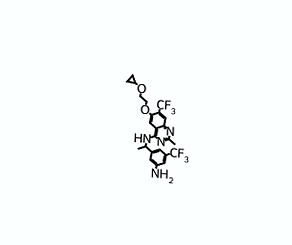 Cc1nc(NC(C)c2cc(N)cc(C(F)(F)F)c2)c2cc(OCCOC3CC3)c(C(F)(F)F)cc2n1